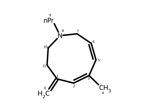 C=C1/C=C(C)\C=C/CN(CCC)CC1